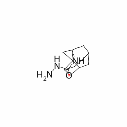 NNC(=O)NC12CC3CC4CC(C3)C41C2